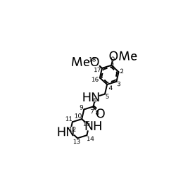 COc1ccc(CNC(=O)CC2CNCCN2)cc1OC